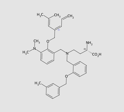 C=C/C=C(\C=C(C)C)COc1c(CN(CC[C@H](N)C(=O)O)Cc2ccccc2OCc2cccc(C)c2)cccc1N(C)C